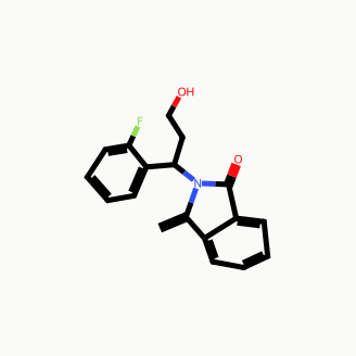 C=C1c2ccccc2C(=O)N1C(CCO)c1ccccc1F